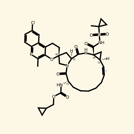 Cc1nc2ccc(Cl)cc2c2c1O[C@]1(CC2)C[C@H]2C(=O)N[C@]3(C(=O)NS(=O)(=O)C4(C)CC4)C[C@H]3/C=C\CCCCC[C@H](NC(=O)OCC3CC3)C(=O)N2C1